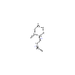 C=C1COCC/C1=C/C=C\C